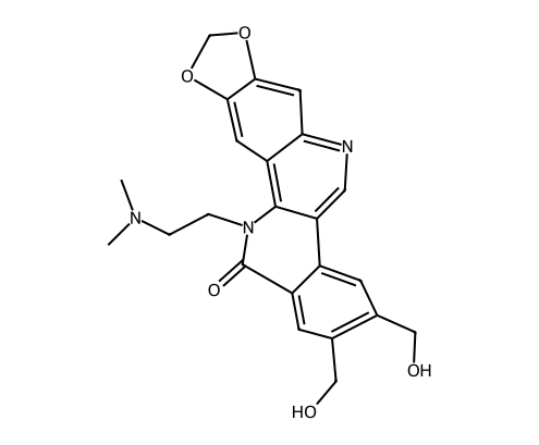 CN(C)CCn1c(=O)c2cc(CO)c(CO)cc2c2cnc3cc4c(cc3c21)OCO4